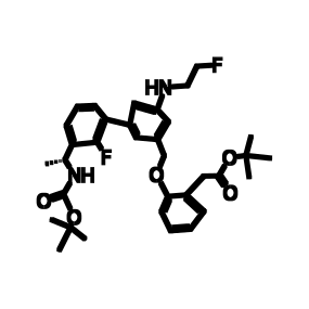 C[C@@H](NC(=O)OC(C)(C)C)c1cccc(-c2cc(COc3ccccc3CC(=O)OC(C)(C)C)cc(NCCF)c2)c1F